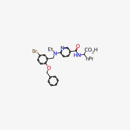 CCCC(NC(=O)c1ccc(N(CC)Cc2cc(Br)ccc2OCc2ccccc2)nc1)C(=O)O